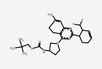 CC1=Cc2nc(C3CCC=CC3C(F)F)nc(N3CCC(NC(=O)OCC(C)(C)C)C3)c2CC1